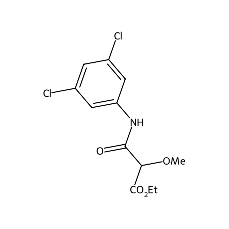 CCOC(=O)C(OC)C(=O)Nc1cc(Cl)cc(Cl)c1